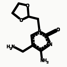 NCc1cn(CC2OCCO2)c(=O)nc1N